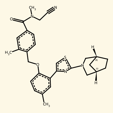 Cc1ccc(OCc2ccc(C(=O)N(C)CC#N)cc2C)c(-c2csc(N3C[C@@H]4CC[C@@H](C4)C3)n2)c1